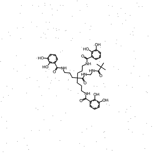 CC(C)(C)C(=O)NCNC(=O)C(CCCNC(=O)c1cccc(O)c1O)(CCCNC(=O)c1cccc(O)c1O)CCCNC(=O)c1cccc(O)c1O